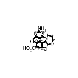 Cc1cc(N2CCCOCC2c2cc(Cl)c(C(=O)O)cc2Cl)nc(N)n1